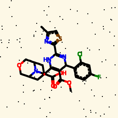 COC(=O)C1=C(CN2C3COCC2CC(C(=O)O)C3)NC(c2nc(C)cs2)=NC1c1ccc(F)cc1Cl